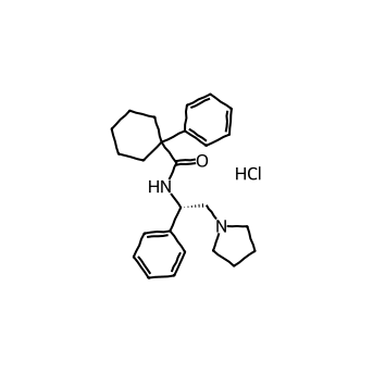 Cl.O=C(N[C@H](CN1CCCC1)c1ccccc1)C1(c2ccccc2)CCCCC1